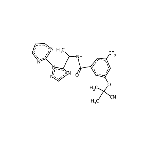 CC(NC(=O)c1cc(OC(C)(C)C#N)cc(C(F)(F)F)c1)c1ncnn1-c1ncccn1